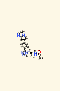 O=C(C1CC1)N1CC[C@@H](Cn2cnnc2-c2ccc(C3=CC4=NCCN4C=C3)cc2)C1